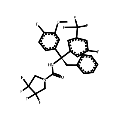 COc1cc([C@@](Cc2ccccc2)(NC(=O)N2CC(F)(F)C(F)(F)C2)c2cc(F)cc(C(F)(F)F)c2)ccc1F